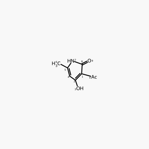 CC(=O)c1c(O)cc(C)[nH]c1=O